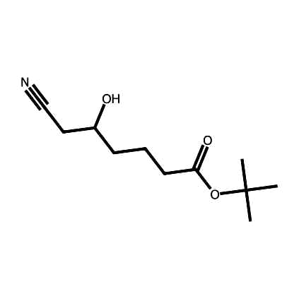 CC(C)(C)OC(=O)CCCC(O)CC#N